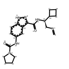 C=NC[C@@H](NC(=O)c1n[nH]c2ccc(NC(=O)N3CCCC3)cc12)C1CCC1